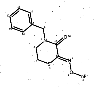 CCCON=C1SCCN(Cc2ccccc2)C1=O